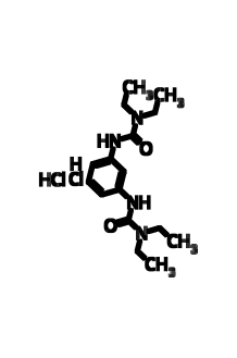 CCN(CC)C(=O)Nc1cccc(NC(=O)N(CC)CC)c1.Cl.Cl